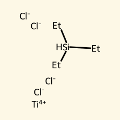 CC[SiH](CC)CC.[Cl-].[Cl-].[Cl-].[Cl-].[Ti+4]